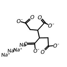 O=C([O-])CC(C(=O)[O-])C(CC(=O)[O-])C(=O)[O-].[Na+].[Na+].[Na+].[Na+]